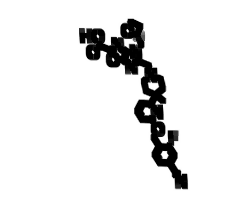 CC1(c2cccc(OCc3ccc(C#N)cc3F)n2)CCN(Cc2nc3oc(C(=O)O)nc3n2C[C@@H]2CCO2)CC1